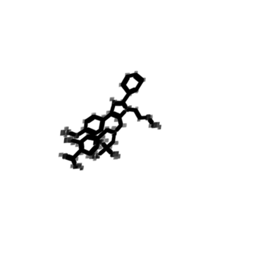 COCCn1c(-c2ccccc2)nc(-c2ccc(OC)cc2)c1CN(Cc1ccc(C(N)=O)c(O)c1)CC(C)(C)C